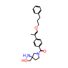 C/C(=C\OCCCc1ccccc1)c1ccc(C(=O)N2CCC(N)(CO)C2)cc1